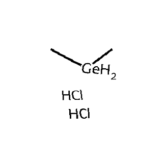 Cl.Cl.[CH3][GeH2][CH3]